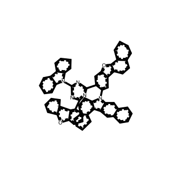 c1ccc2cc3c(cc2c1)c1c2ccccc2ccc1n3-c1cc2c(cc1-c1nc(-c3cccc4oc5ccccc5c34)nc(-n3c4ccccc4c4ccccc43)n1)oc1c3ccccc3ccc21